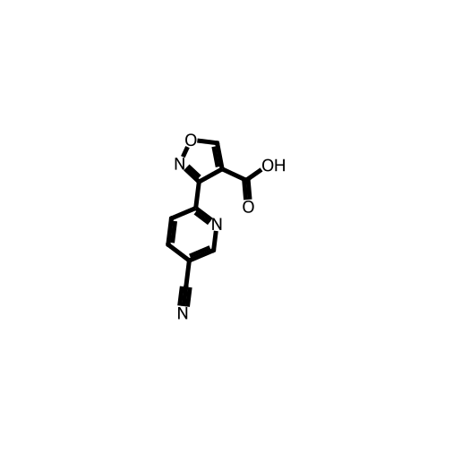 N#Cc1ccc(-c2nocc2C(=O)O)nc1